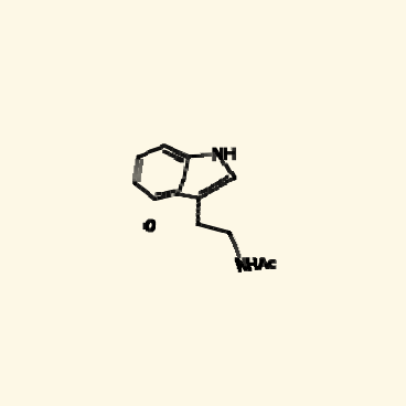 CC(=O)NCCc1c[nH]c2ccccc12.[O]